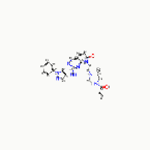 C=CC(=O)N1CCN(CCn2c(=O)ccc3cnc(Nc4cnn(-c5ccccc5)c4)nc32)[C@@H](CC)C1